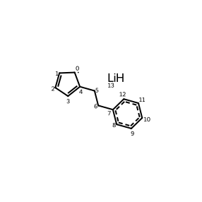 [CH]1C=CC=C1CCc1ccccc1.[LiH]